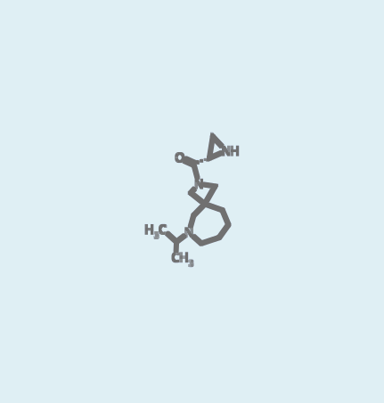 CC(C)N1CCCCC2(CN(C(=O)[C@@H]3CN3)C2)C1